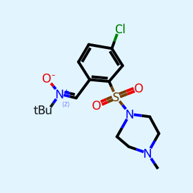 CN1CCN(S(=O)(=O)c2cc(Cl)ccc2/C=[N+](\[O-])C(C)(C)C)CC1